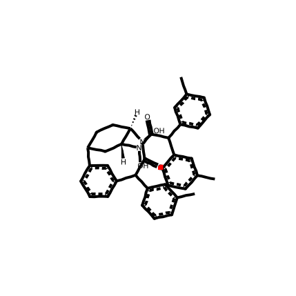 Cc1cccc(C2C(=O)N(O)[C@@H]3CCC(C[C@H]3N(O)C(=O)C(c3cccc(C)c3)c3cccc(C)c3)c3cccc2c3)c1